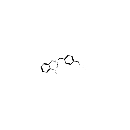 CN1CN(Cc2ccc(CC(=O)O)cc2)Cc2ccccc21